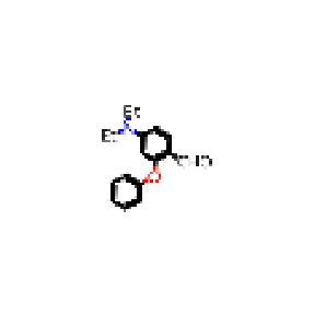 CCN(CC)c1ccc(C=O)c(Oc2ccccc2)c1